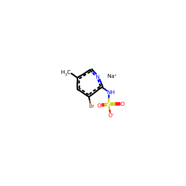 Cc1cnc(NS(=O)(=O)[O-])c(Br)c1.[Na+]